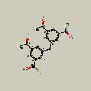 O=C(Cl)c1cc(Cc2cc(C(=O)Cl)cc(C(=O)Cl)c2)cc(C(=O)Cl)c1